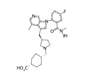 Cc1cncc2c1c(C[C@H]1CCN(C[C@H]3CC[C@@H](C(=O)O)CC3)C1)cn2-c1ccc(F)cc1C(=O)N(C)C(C)C